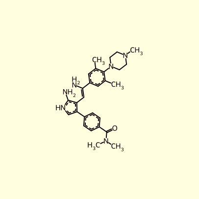 Cc1cc(/C(N)=C/c2c(-c3ccc(C(=O)N(C)C)cc3)c[nH]c2N)cc(C)c1N1CCN(C)CC1